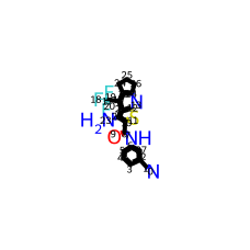 N#Cc1cccc(NC(=O)c2sc3nc4c(c(C(F)(F)F)c3c2N)CCC4)c1